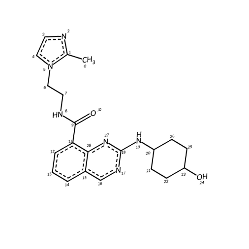 Cc1nccn1CCNC(=O)c1cccc2cnc(NC3CCC(O)CC3)nc12